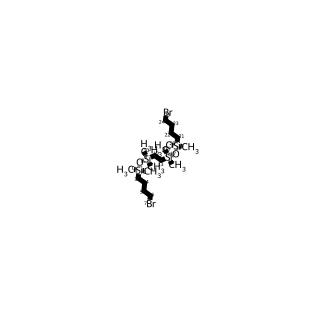 C[Si](C)(CCCCBr)O[Si](C)(C)CC[Si](C)(C)O[Si](C)(C)CCCCBr